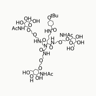 CC(=O)NC1C(OCCOCCNC(=O)CN(CC(=O)NCCOCCOC2OC(CO)C(O)C(O)C2NC(C)=O)C(CCCCNC(=O)C2CCC(OC(C)(C)C)CC2)C(=O)NCCOCCOC2OC(CO)C(O)C(O)C2NC(C)=O)CC(CO)C(O)C1O